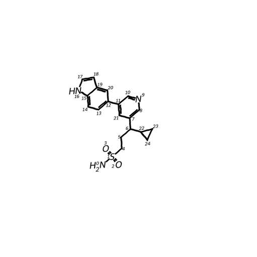 NS(=O)(=O)CCC(c1cncc(-c2ccc3[nH]ccc3c2)c1)C1CC1